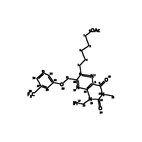 CC(=O)OCCCCCc1nc2c(=O)n(C)c(=O)n(CC(C)C)c2nc1COc1cccc(C(F)(F)F)c1